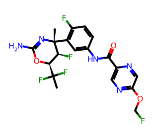 CC(F)(F)[C@H]1OC(N)=N[C@](C)(c2cc(NC(=O)c3cnc(OCF)cn3)ccc2F)[C@H]1F